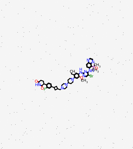 CCc1cc(Nc2ncc(Br)c(Nc3ccc4nccnc4c3P(C)(C)=O)n2)c(OC)cc1N1CCC(N2CCN(CC3CC(c4ccc(C5CCC(=O)NC5=O)c(F)c4)C3)CC2)CC1